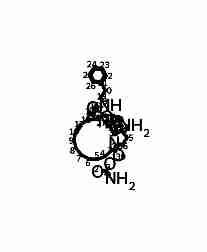 NC(=O)OC1CCCCCC=CC2CC2(S(=O)(=O)NCCc2ccccc2)NC(=O)C2(C(N)=O)CCCN2C1=O